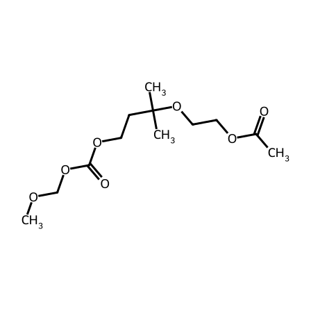 COCOC(=O)OCCC(C)(C)OCCOC(C)=O